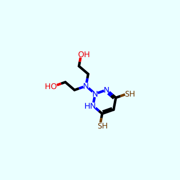 OCCN(CCO)N1N=C(S)C=C(S)N1